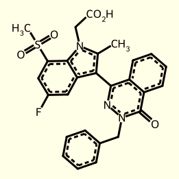 Cc1c(-c2nn(Cc3ccccc3)c(=O)c3ccccc23)c2cc(F)cc(S(C)(=O)=O)c2n1CC(=O)O